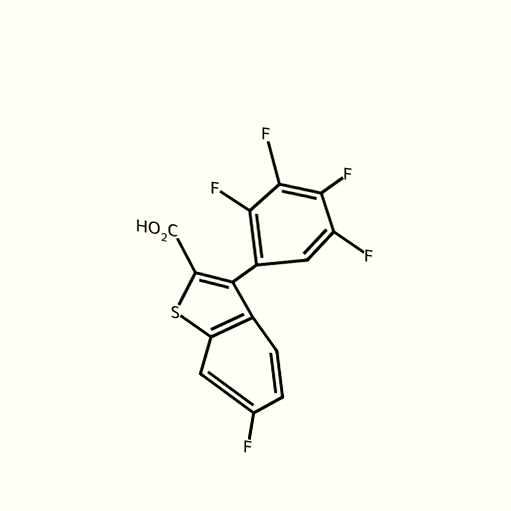 O=C(O)c1sc2cc(F)ccc2c1-c1cc(F)c(F)c(F)c1F